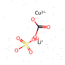 O=C([O-])[O-].O=S(=O)([O-])O.[Cu+2].[Li+]